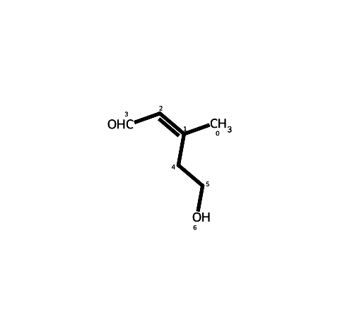 CC(=CC=O)CCO